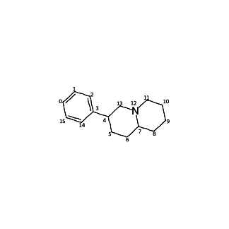 c1ccc(C2CCC3CCCCN3C2)cc1